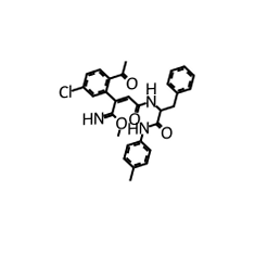 COC(=N)/C(=C\C(=O)NC(Cc1ccccc1)C(=O)Nc1ccc(C)cc1)c1cc(Cl)ccc1C(C)=O